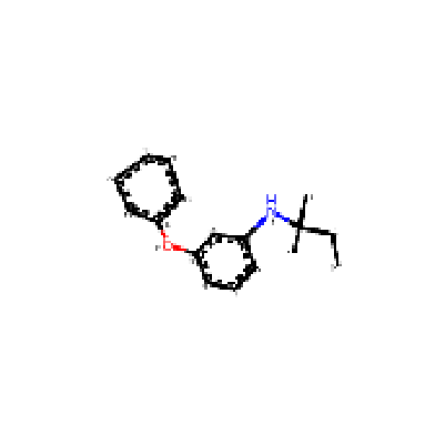 CCC(C)(C)Nc1cccc(Oc2ccccc2)c1